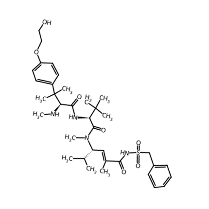 CN[C@H](C(=O)N[C@H](C(=O)N(C)[C@H](C=C(C)C(=O)NS(=O)(=O)Cc1ccccc1)C(C)C)C(C)(C)C)C(C)(C)c1ccc(OCCO)cc1